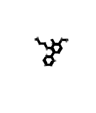 CCOc1ccc(-c2ncncn2)c(OCCO)c1C